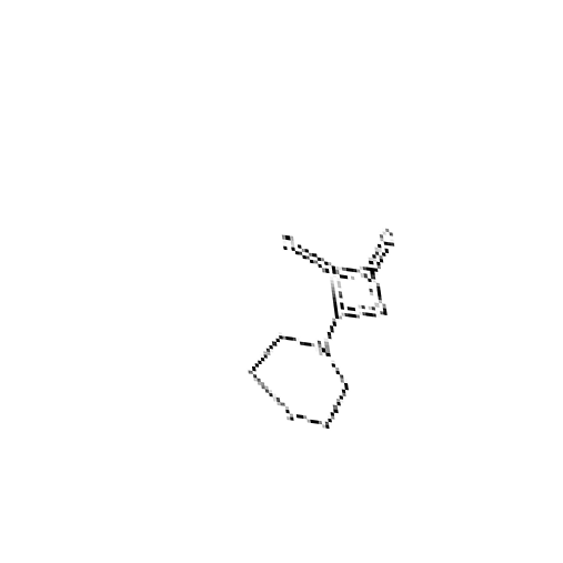 O=c1cc(N2CCSCC2)c1=O